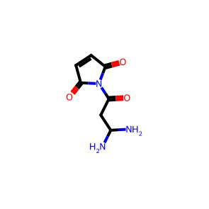 NC(N)CC(=O)N1C(=O)C=CC1=O